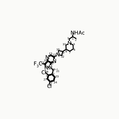 CC(=O)NC(C)CN1CCCC(C2CN(c3cnc4c(C(F)(F)F)nn([C@H](C)c5ccc(Cl)cc5Cl)c4n3)C2)C1